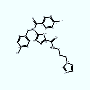 O=C(NCCCn1ccnc1)c1cnc(N(Cc2ccc(F)cc2)C(=O)c2ccc(F)cc2)s1